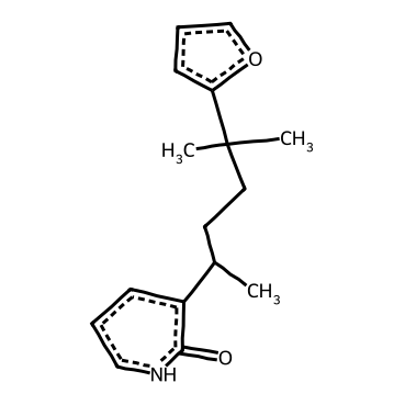 CC(CCC(C)(C)c1ccco1)c1ccc[nH]c1=O